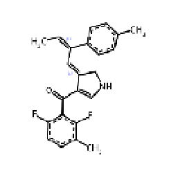 C/C=C(\C=C1/CNC=C1C(=O)c1c(F)ccc(C)c1F)c1ccc(C)cc1